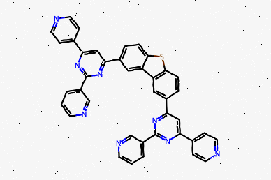 c1cncc(-c2nc(-c3ccncc3)cc(-c3ccc4sc5ccc(-c6cc(-c7ccncc7)nc(-c7cccnc7)n6)cc5c4c3)n2)c1